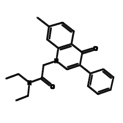 CCN(CC)C(=O)Cn1cc(-c2ccccc2)c(=O)c2ccc(C)cc21